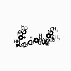 CCc1cc(Nc2ncc(Br)c(Nc3ccc4nc(C)ccc4c3P(C)(C)=O)n2)c(OC)cc1N1CCC(N2CCN(CC3(CNc4cc(F)c(C5CCC(=O)NC5=O)c(F)c4)CC3)CC2)CC1